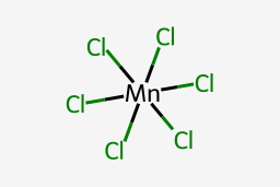 [Cl][Mn]([Cl])([Cl])([Cl])([Cl])[Cl]